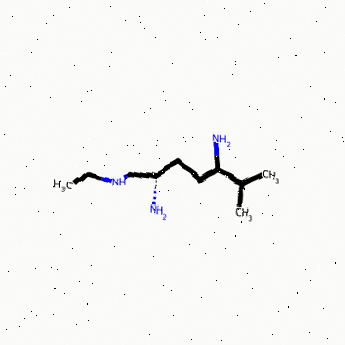 CCNC[C@@H](N)CCC(N)C(C)C